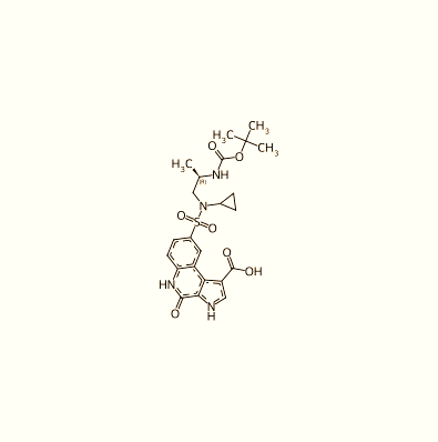 C[C@H](CN(C1CC1)S(=O)(=O)c1ccc2[nH]c(=O)c3[nH]cc(C(=O)O)c3c2c1)NC(=O)OC(C)(C)C